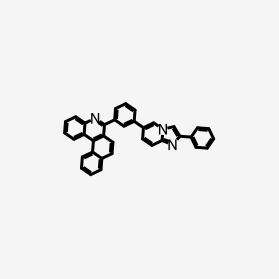 c1ccc(-c2cn3cc(-c4cccc(-c5nc6ccccc6c6c5ccc5ccccc56)c4)ccc3n2)cc1